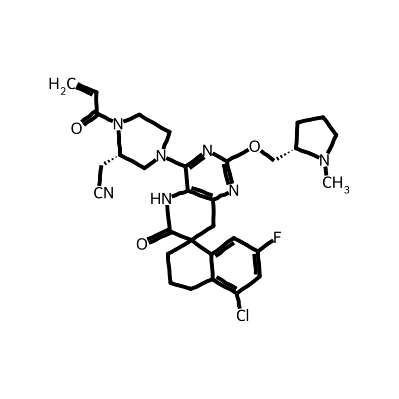 C=CC(=O)N1CCN(c2nc(OC[C@@H]3CCCN3C)nc3c2NC(=O)C2(CCCc4c(Cl)cc(F)cc42)C3)C[C@@H]1CC#N